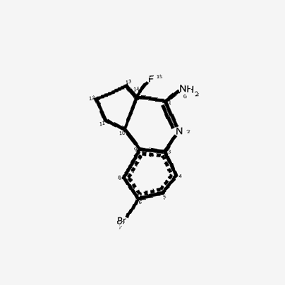 NC1=Nc2ccc(Br)cc2C2CCCC12F